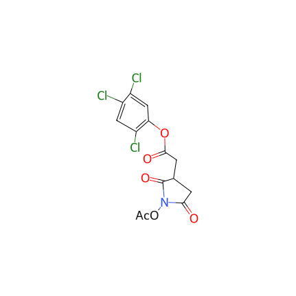 CC(=O)ON1C(=O)CC(CC(=O)Oc2cc(Cl)c(Cl)cc2Cl)C1=O